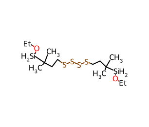 CCO[SiH2]C(C)(C)CCSSSSCCC(C)(C)[SiH2]OCC